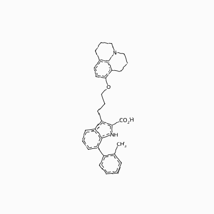 Cc1ccccc1-c1cccc2c(CCCOc3ccc4c5c3CCCN5CCC4)c(C(=O)O)[nH]c12